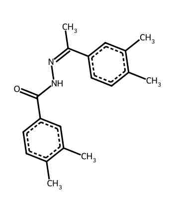 CC(=NNC(=O)c1ccc(C)c(C)c1)c1ccc(C)c(C)c1